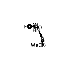 COC(=O)C1CN(CCCCCNC(=O)c2cc(-c3ccc(F)cc3)on2)C1